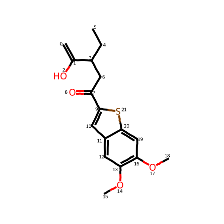 C=C(O)C(CC)CC(=O)c1cc2cc(OC)c(OC)cc2s1